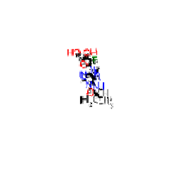 CC(C)(C)C(=O)Nc1ncnc2c1ncn2[C@@H]1O[C@H](CO)C(O)[C@@H]1F